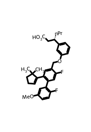 CCC[C@@H](CC(=O)O)c1cccc(OCc2cc(C3=CCCC3(C)C)c(-c3cc(OC)ccc3F)cc2F)c1